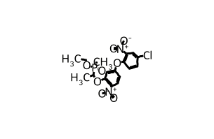 CCOP(C)(=O)C(C)Oc1cc(Oc2ccc(Cl)cc2[N+](=O)[O-])ccc1[N+](=O)[O-]